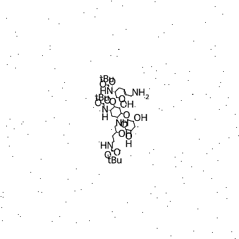 CC(C)(C)OC(=O)NCC[C@H](O)CN[C@@H]1C[C@H](NC(=O)OC(C)(C)C)[C@@H](O[C@H]2OC(CN)=CC[C@H]2NC(=O)OC(C)(C)C)[C@H](O)[C@H]1O[C@H]1OC[C@](C)(O)[CH][C@H]1O